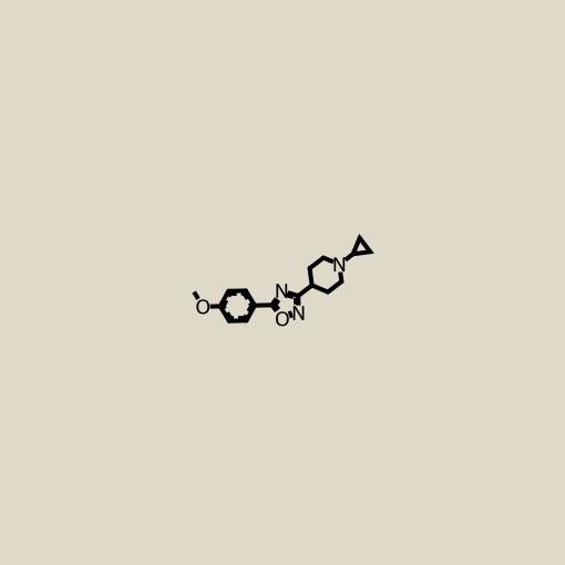 COc1ccc(-c2nc(C3CCN(C4CC4)CC3)no2)cc1